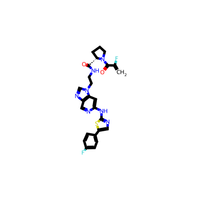 C=C(F)C(=O)N1CCC[C@H]1C(=O)NCCn1cnc2cnc(Nc3ncc(-c4ccc(F)cc4)s3)cc21